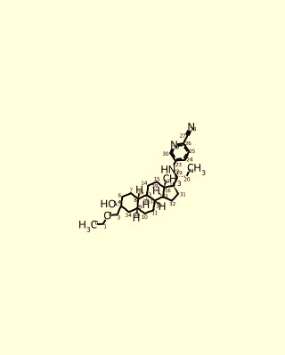 CCOC[C@@]1(O)CC[C@H]2[C@H](CC[C@@H]3[C@@H]2CC[C@]2(C)[C@@H]([C@@H](CC)Nc4ccc(C#N)nc4)CC[C@@H]32)C1